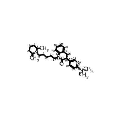 CC1CCCC(C)N1CCCCCN1C(=O)C(c2ccc(N(C)C)nc2)Cc2ccccc21